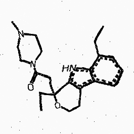 CCc1cccc2c3c([nH]c12)C(CC)(CC(=O)N1CCN(C)CC1)OCC3